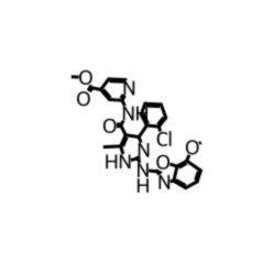 COC(=O)c1ccnc(NC(=O)C2=C(C)NC(Nc3nc4cccc(OC)c4o3)=NC2c2ccccc2Cl)c1